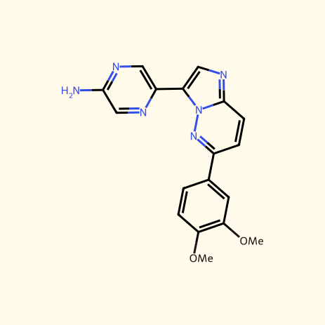 COc1ccc(-c2ccc3ncc(-c4cnc(N)cn4)n3n2)cc1OC